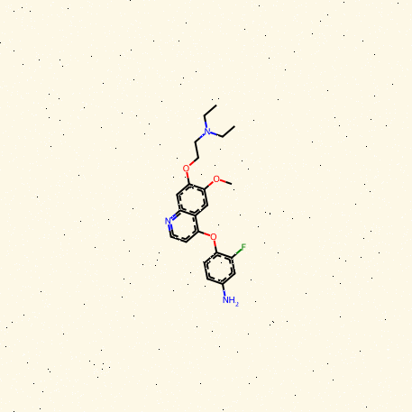 CCN(CC)CCOc1cc2nccc(Oc3ccc(N)cc3F)c2cc1OC